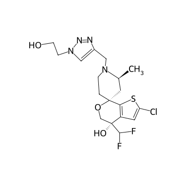 C[C@H]1C[C@@]2(CCN1Cc1cn(CCO)nn1)OC[C@](O)(C(F)F)c1cc(Cl)sc12